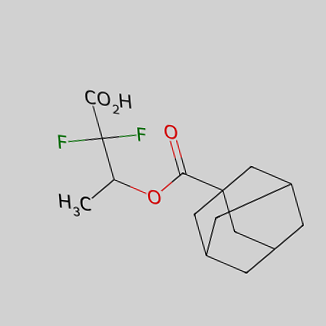 CC(OC(=O)C12CC3CC(CC(C3)C1)C2)C(F)(F)C(=O)O